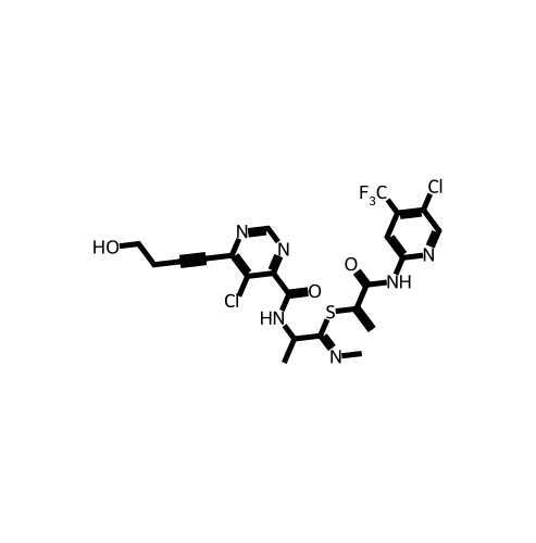 C=C(S/C(=N\C)C(C)NC(=O)c1ncnc(C#CCCO)c1Cl)C(=O)Nc1cc(C(F)(F)F)c(Cl)cn1